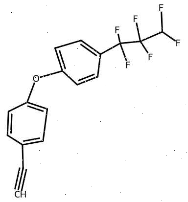 C#Cc1ccc(Oc2ccc(C(F)(F)C(F)(F)C(F)F)cc2)cc1